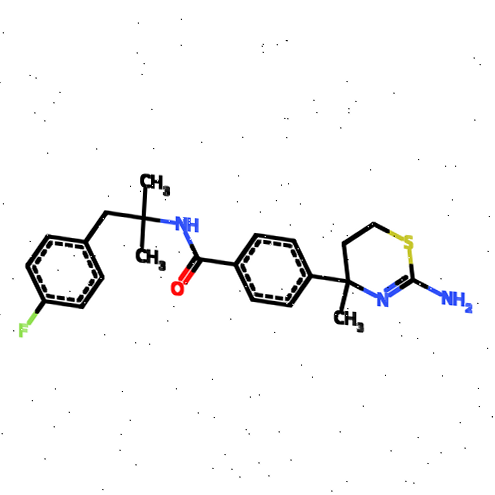 CC(C)(Cc1ccc(F)cc1)NC(=O)c1ccc(C2(C)CCSC(N)=N2)cc1